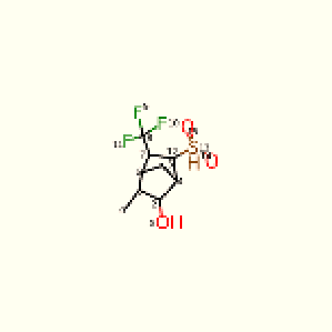 CC1C(O)C2CC1C(C(F)(F)F)C2[SH](=O)=O